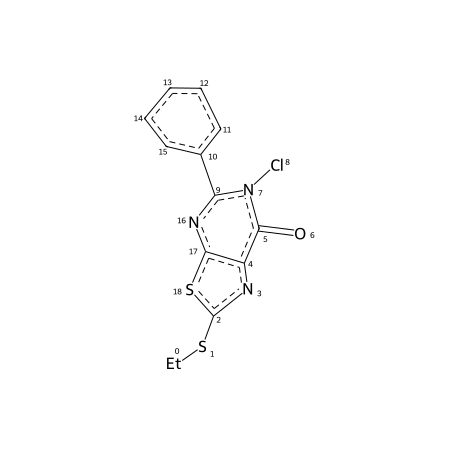 CCSc1nc2c(=O)n(Cl)c(-c3ccccc3)nc2s1